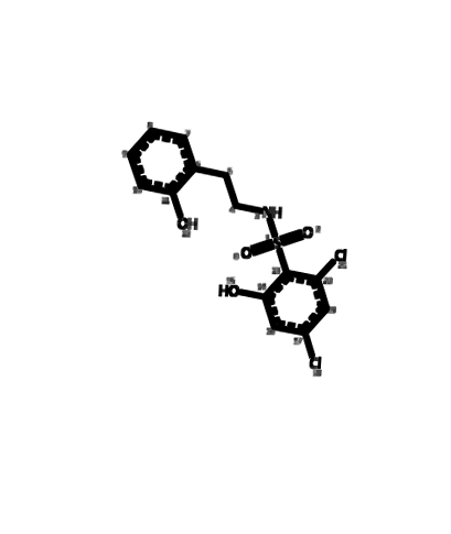 O=S(=O)(NCCc1ccccc1O)c1c(O)cc(Cl)cc1Cl